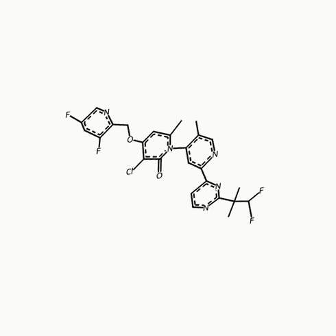 Cc1cnc(-c2ccnc(C(C)(C)C(F)F)n2)cc1-n1c(C)cc(OCc2ncc(F)cc2F)c(Cl)c1=O